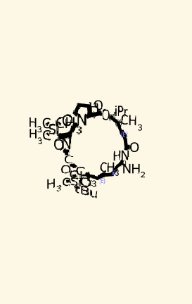 CC1=C\C(O[Si](C)(C)C(C)(C)C)CC(=O)Cc2nc(c([Si](C)(C)C)o2)C(=O)N2CCC[C@@H]2C(=O)O[C@H](C(C)C)[C@H](C)/C=C/C(=O)N[C@H](N)\C=C\1